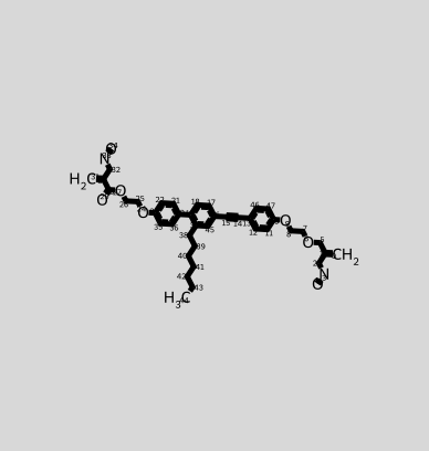 C=C(CN=O)COCCOc1ccc(C#Cc2ccc(-c3ccc(OCCOC(=O)C(=C)CN=O)cc3)c(CCCCCCC)c2)cc1